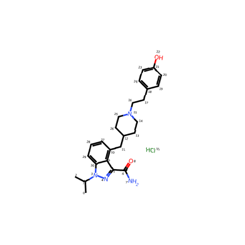 CC(C)n1nc(C(N)=O)c2c(CC3CCN(CCc4ccc(O)cc4)CC3)cccc21.Cl